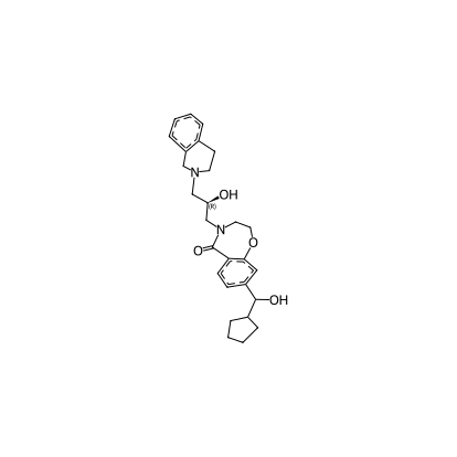 O=C1c2ccc(C(O)C3CCCC3)cc2OCCN1C[C@H](O)CN1CCc2ccccc2C1